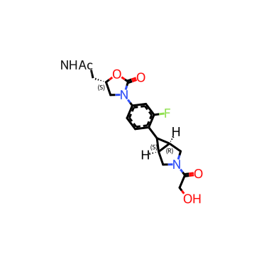 CC(=O)NC[C@H]1CN(c2ccc(C3[C@H]4CN(C(=O)CO)C[C@@H]34)c(F)c2)C(=O)O1